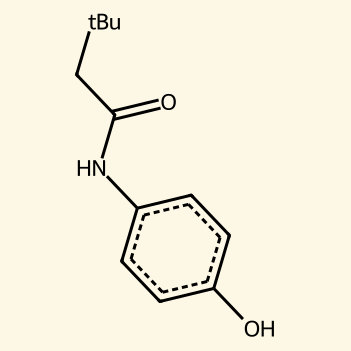 CC(C)(C)CC(=O)Nc1ccc(O)cc1